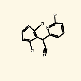 N#CC(c1cccc(Br)n1)c1c(Cl)cccc1Cl